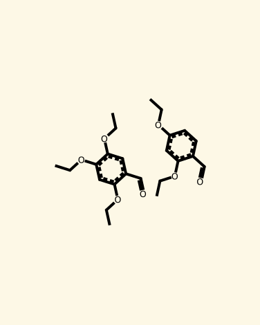 CCOc1cc(OCC)c(OCC)cc1C=O.CCOc1ccc(C=O)c(OCC)c1